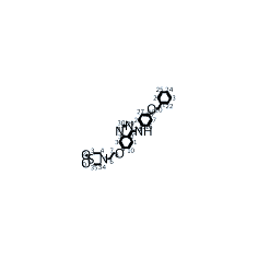 O=S1(=O)CCN(CCOc2ccc3c(Nc4ccc(OCc5ccccc5)cc4)ncnc3c2)CC1